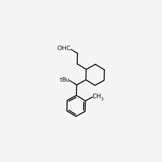 Cc1ccccc1C(C1CCCCC1CCC=O)C(C)(C)C